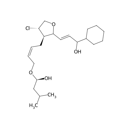 CC(C)C[C@H](O)OC/C=C\C[C@@H]1C(/C=C/C(O)C2CCCCC2)OC[C@H]1Cl